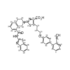 C#Cc1ncccc1-c1ccc(OCCCc2sc(N3CCc4cccc(C(=O)Nc5nc6ccccc6s5)c4C3)nc2C(=O)O)cc1